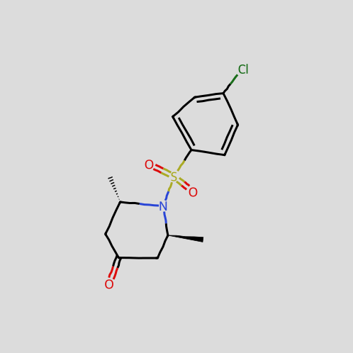 C[C@H]1CC(=O)C[C@H](C)N1S(=O)(=O)c1ccc(Cl)cc1